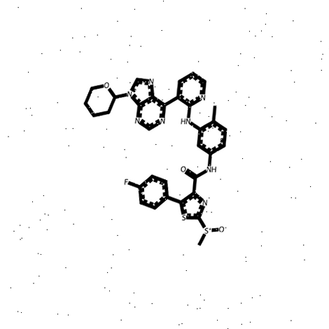 Cc1ccc(NC(=O)c2nc([S+](C)[O-])sc2-c2ccc(F)cc2)cc1Nc1ncccc1-c1ncnc2c1ncn2C1CCCCO1